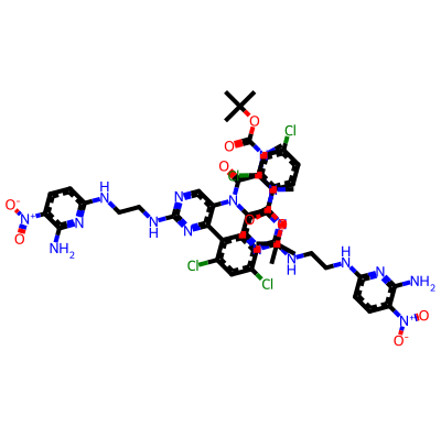 CN(C(=O)OC(C)(C)C)C(C(=O)N(c1cnc(NCCNc2ccc([N+](=O)[O-])c(N)n2)nc1-c1ccc(Cl)cc1Cl)c1cnc(NCCNc2ccc([N+](=O)[O-])c(N)n2)nc1-c1ccc(Cl)cc1Cl)N(C)C(=O)OC(C)(C)C